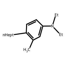 CCCCCCCc1ccc(N(CC)CC)cc1C